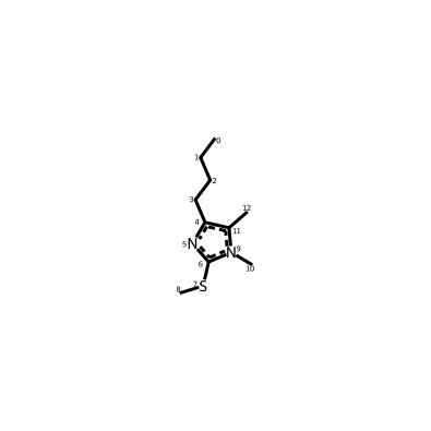 CCCCc1nc(SC)n(C)c1C